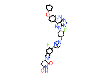 Nc1ncnc2c1c(-c1ccc(Oc3ccccc3)cc1)nn2C1CCC(CN2CC3CCC2CN3c2cc3cn(C4CCC(=O)NC4=O)cc3cc2F)CC1F